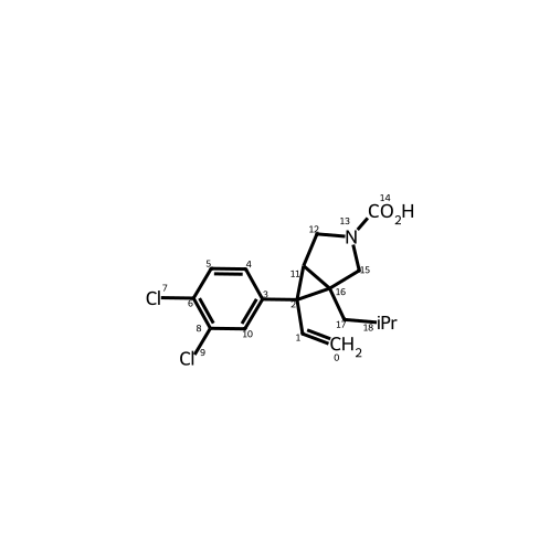 C=CC1(c2ccc(Cl)c(Cl)c2)C2CN(C(=O)O)CC21CC(C)C